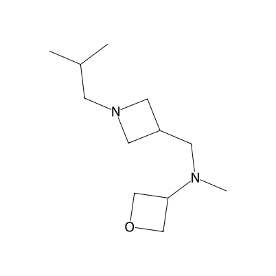 CC(C)CN1CC(CN(C)C2COC2)C1